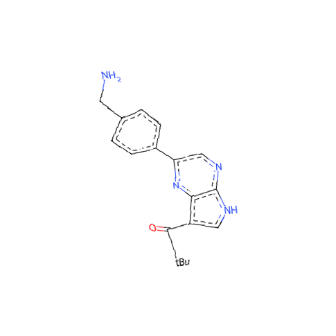 CC(C)(C)C(=O)c1c[nH]c2ncc(-c3ccc(CN)cc3)nc12